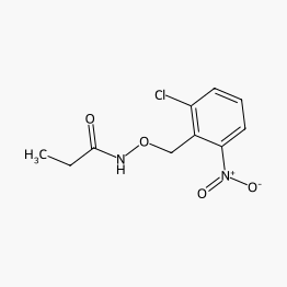 CCC(=O)NOCc1c(Cl)cccc1[N+](=O)[O-]